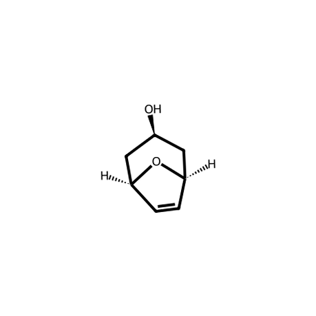 O[C@H]1C[C@H]2C=C[C@@H](C1)O2